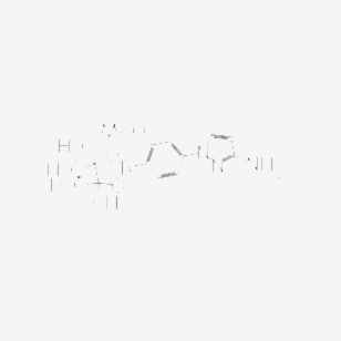 COc1cc(-n2ccc(N)n2)ccc1B1OC(C)(C)C(C)(C)O1